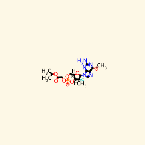 COc1nc(N)nc2c1ncn2[C@@H]1O[C@@H]2COP(=O)(OCC(=O)OC(C)C)O[C@H]2[C@@]1(C)F